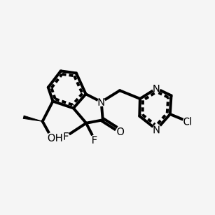 C[C@H](O)c1cccc2c1C(F)(F)C(=O)N2Cc1cnc(Cl)cn1